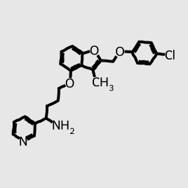 Cc1c(COc2ccc(Cl)cc2)oc2cccc(OCCCC(N)c3cccnc3)c12